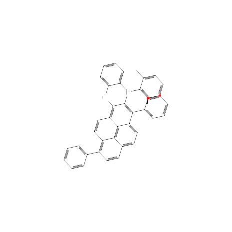 Cc1cccc(C)c1B1c2ccccc2Oc2c1c(-c1ccccc1)c1ccc3ccc(-c4ccccc4)c4ccc2c1c34